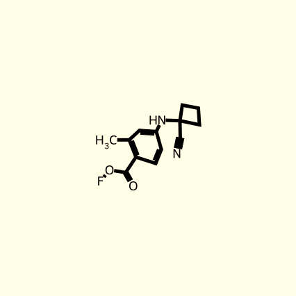 Cc1cc(NC2(C#N)CCC2)ccc1C(=O)OF